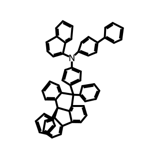 c1ccc(-c2ccc(N(c3ccc(C4(c5ccccc5)c5ccccc5C5(c6ccccc6)c6ccccc6-c6cccc4c65)cc3)c3cccc4ccccc34)cc2)cc1